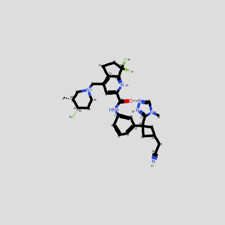 C[C@@H]1CN(Cc2cc(C(=O)Nc3cccc(C4(c5nncn5C)CC(CC#N)C4)c3)nc3c2CCC3(F)F)CC[C@@H]1F